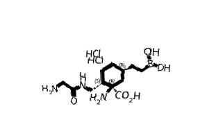 Cl.Cl.NCC(=O)NC[C@@H]1CC[C@@H](CCB(O)O)C[C@]1(N)C(=O)O